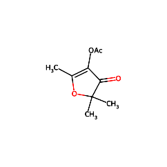 CC(=O)OC1=C(C)OC(C)(C)C1=O